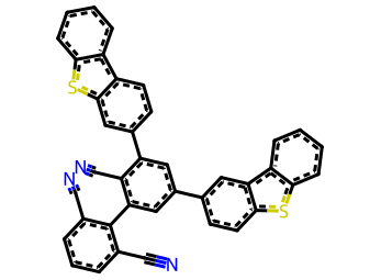 N#Cc1cccc(C#N)c1-c1cc(-c2ccc3sc4ccccc4c3c2)cc(-c2ccc3c(c2)sc2ccccc23)c1C#N